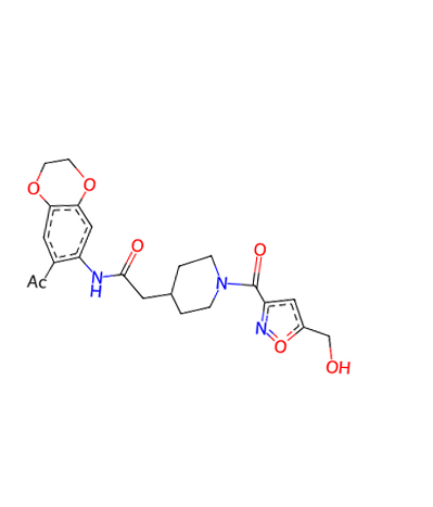 CC(=O)c1cc2c(cc1NC(=O)CC1CCN(C(=O)c3cc(CO)on3)CC1)OCCO2